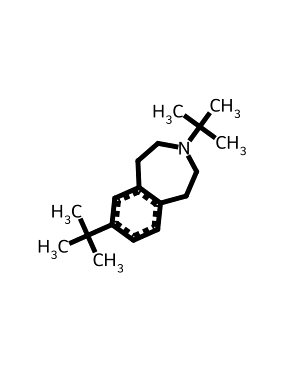 CC(C)(C)c1ccc2c(c1)CCN(C(C)(C)C)CC2